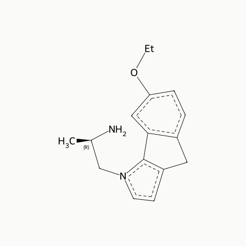 CCOc1ccc2c(c1)-c1c(ccn1C[C@@H](C)N)C2